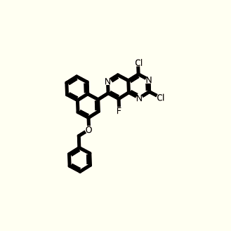 Fc1c(-c2cc(OCc3ccccc3)cc3ccccc23)ncc2c(Cl)nc(Cl)nc12